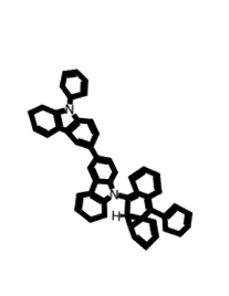 C1=CCCC(C2=c3ccccc3=C(N3C4=C(C=CCC4)C4=CC(c5ccc6c(c5)c5c(n6C6C=CC=CC6)CCC=C5)=CCC43)[C@H]3C4C=CC=CC243)=C1